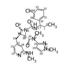 CCC(NC(=O)N1C(=O)[C@H](Cc2ccnc(NC)c2)[C@H]1C(=O)N(C)c1ccn(C)n1)c1cccc(Cl)c1